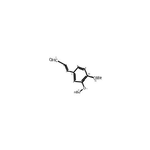 CCCCOc1cc(/C=C/C=O)ccc1OC